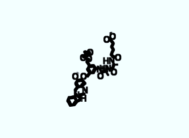 COC(=O)CCCCC(=O)N[C@@H](C)C(=O)N[C@@H](C)C(=O)Nc1cc(COc2cc3c(cc2OC)CN2c4ccccc4C[C@H]2C=N3)cc(COS(C)(=O)=O)c1